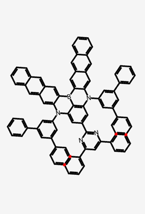 c1ccc(-c2cc(-c3ccccc3)cc(N3c4cc5cc6ccccc6cc5cc4B4c5cc6cc7ccccc7cc6cc5N(c5cc(-c6ccccc6)cc(-c6ccccc6)c5)c5cc(-c6nc(-c7ccccc7)cc(-c7ccccc7)n6)cc3c54)c2)cc1